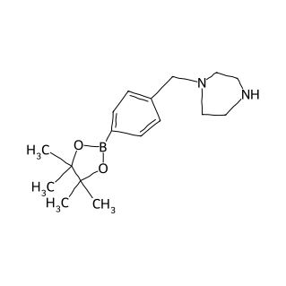 CC1(C)OB(c2ccc(CN3CCNCC3)cc2)OC1(C)C